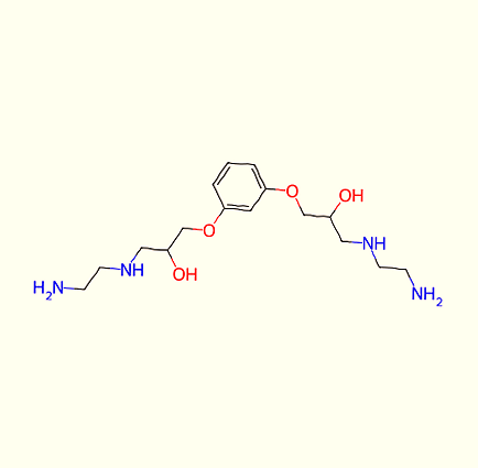 NCCNCC(O)COc1cccc(OCC(O)CNCCN)c1